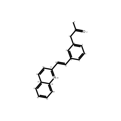 CC(=O)Cc1cccc(C=Cc2ccc3ccccc3n2)c1